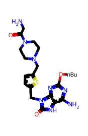 CCCCOc1nc(N)c2[nH]c(=O)n(Cc3ccc(CN4CCN(C(=O)CN)CC4)s3)c2n1